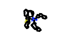 c1ccc2cc(-c3nc(-c4ccc5ccc6ccccc6c5c4)nc(-c4c5c(cc6sc7ccccc7c46)-c4cccc6cccc-5c46)n3)ccc2c1